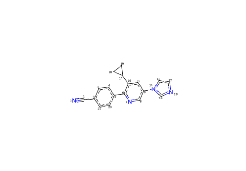 N#Cc1ccc(-c2ncc(-n3ccnc3)cc2C2CC2)cc1